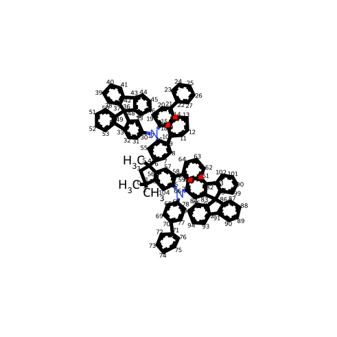 CC1(C)CC(C)(c2ccc(-c3ccccc3)c(N(c3ccc(-c4ccccc4)cc3)c3ccc4c(c3)C3(c5ccccc5-c5ccccc53)c3ccccc3-4)c2)c2cc(-c3ccccc3)c(N(c3ccc(-c4ccccc4)cc3)c3ccc4c(c3)C3(c5ccccc5-c5ccccc53)c3ccccc3-4)cc21